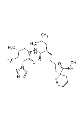 CC[C@H](C)CN(NC(=O)[C@H](CCCC[C@@]1(C(=O)NO)C=CC=CC1)CC(C)C)C(=O)Cn1ccnn1